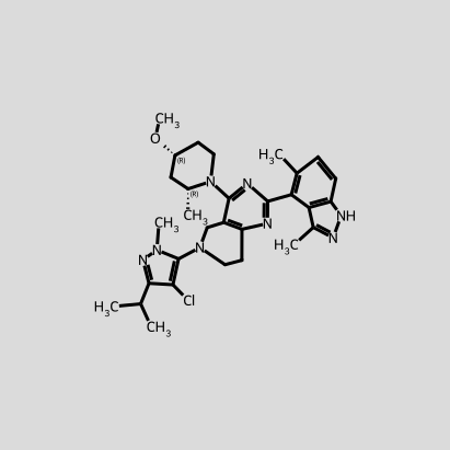 CO[C@@H]1CCN(c2nc(-c3c(C)ccc4[nH]nc(C)c34)nc3c2CN(c2c(Cl)c(C(C)C)nn2C)CC3)[C@H](C)C1